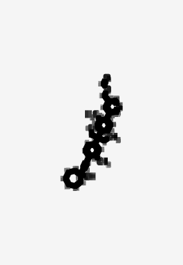 CCC(CC)(c1ccc(C#CC2(O)CCCCCC2)c(C)c1)c1ccc(-c2cncc(COC=O)c2)c(C)c1